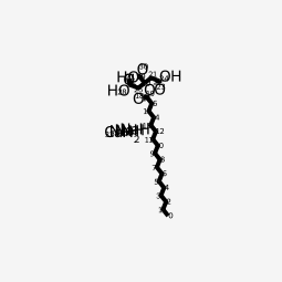 CCCCCCCCCCCCCCCCCC(=O)OC(CC(=O)O)(CC(=O)O)C(=O)O.[CaH2].[NaH].[NaH].[NaH]